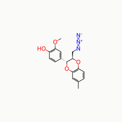 COc1cc([C@H]2Oc3cc(C)ccc3O[C@@H]2CN=[N+]=[N-])ccc1O